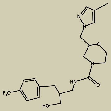 Cc1cnn(CC2CN(C(=O)NCC(CO)Cc3ccc(C(F)(F)F)cc3)CCO2)c1